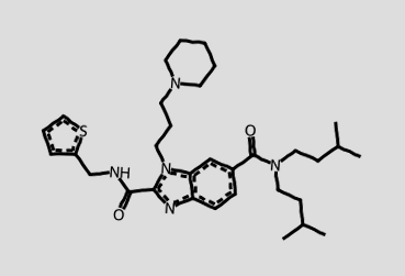 CC(C)CCN(CCC(C)C)C(=O)c1ccc2nc(C(=O)NCc3cccs3)n(CCCN3CCCCC3)c2c1